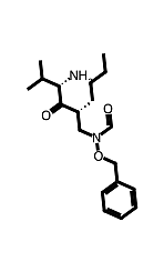 CCCC[C@H](CN(C=O)OCc1ccccc1)C(=O)[C@@H](N)C(C)C